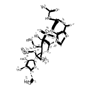 CC(C)C(=O)Nc1nc2c(ncn2[C@@H]2O[C@@]3([SiH2]C3(OC(C)(C)C)[C@@H]3O[C@H](CO)[C@@H](O)[C@@H]3O)[C@@H](OC(C)(C)C)[C@]2(O)S(=O)(=O)C(F)(F)F)c(=O)[nH]1